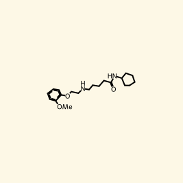 COc1ccccc1OCCNCCCCC(=O)NC1CCCCC1